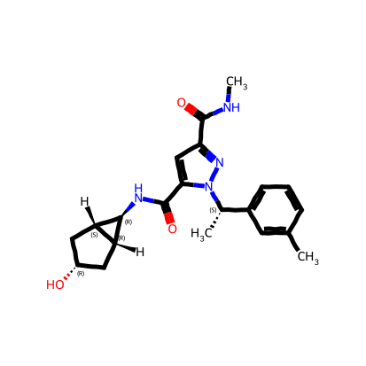 CNC(=O)c1cc(C(=O)N[C@H]2[C@@H]3C[C@H](O)C[C@@H]32)n([C@@H](C)c2cccc(C)c2)n1